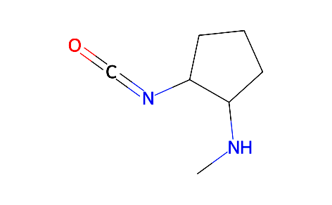 CNC1CCCC1N=C=O